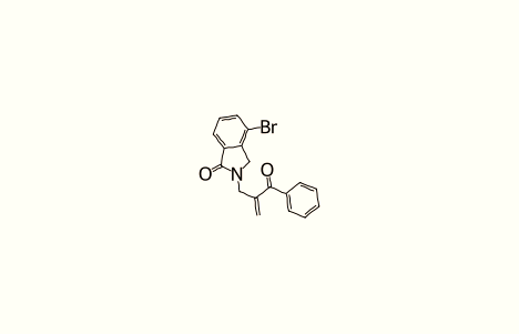 C=C(CN1Cc2c(Br)cccc2C1=O)C(=O)c1ccccc1